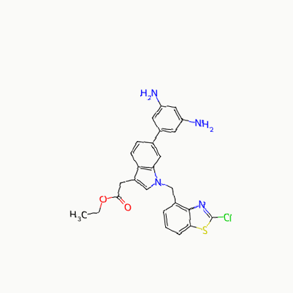 CCOC(=O)Cc1cn(Cc2cccc3sc(Cl)nc23)c2cc(-c3cc(N)cc(N)c3)ccc12